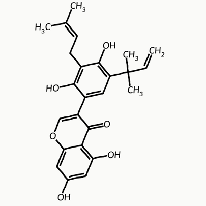 C=CC(C)(C)c1cc(-c2coc3cc(O)cc(O)c3c2=O)c(O)c(CC=C(C)C)c1O